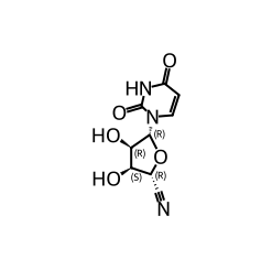 N#C[C@H]1O[C@@H](n2ccc(=O)[nH]c2=O)[C@H](O)[C@@H]1O